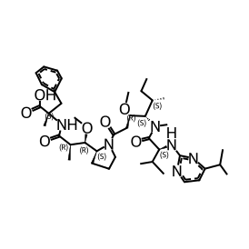 CC[C@H](C)[C@@H]([C@@H](CC(=O)N1CCC[C@H]1[C@H](OC)[C@@H](C)C(=O)N[C@@](C)(Cc1ccccc1)C(=O)O)OC)N(C)C(=O)[C@@H](Nc1nccc(C(C)C)n1)C(C)C